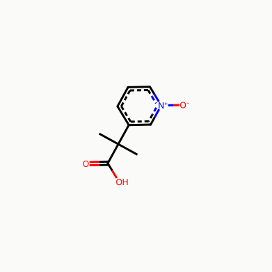 CC(C)(C(=O)O)c1ccc[n+]([O-])c1